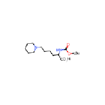 CC(C)(C)OC(=O)NC(CCCCN1CCCCC1)C(=O)O